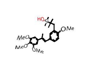 COc1ccc(/C=C(\C)c2cc(OC)c(OC)c(OC)c2)cc1CC(C)(C)[Si](C)(C)O